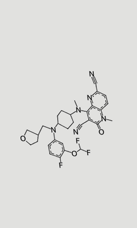 CN(c1c(C#N)c(=O)n(C)c2ccc(C#N)nc12)C1CCC(N(CC2CCOC2)c2ccc(F)c(OC(F)F)c2)CC1